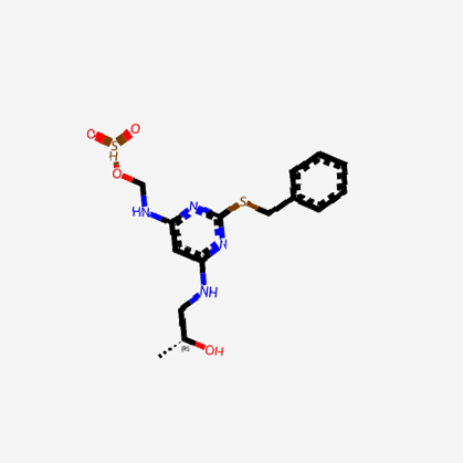 C[C@@H](O)CNc1cc(NCO[SH](=O)=O)nc(SCc2ccccc2)n1